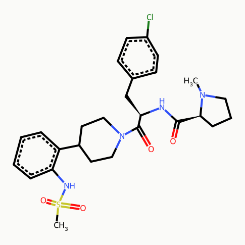 CN1CCC[C@H]1C(=O)N[C@H](Cc1ccc(Cl)cc1)C(=O)N1CCC(c2ccccc2NS(C)(=O)=O)CC1